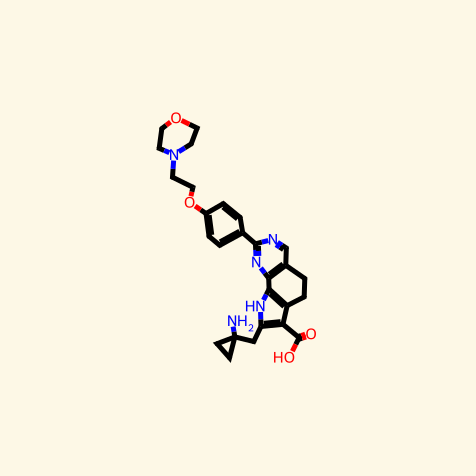 NC1(Cc2[nH]c3c(c2C(=O)O)CCc2cnc(-c4ccc(OCCN5CCOCC5)cc4)nc2-3)CC1